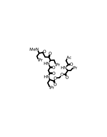 CNC(CC(C)C)C(=O)CC(=O)C(CC(C)C)NC(=O)CC(=O)NC(CC(C)C)C(=O)OCOC(=O)C(CC(C)C)NC(=O)CC(C)=O